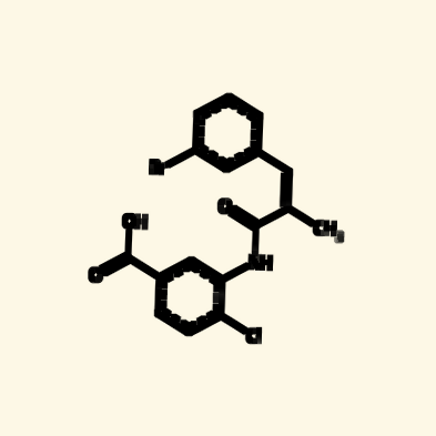 CC(=Cc1cccc(Br)c1)C(=O)Nc1cc(C(=O)O)ccc1Cl